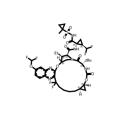 CC[C@@H]1[C@@H]2CN(C(=O)[C@H](C(C)(C)C)NC(=O)O[C@@H]3C[C@H]3CCCCC(F)(F)c3nc4ccc(OC(F)F)cc4nc3O2)[C@@H]1C(=O)N[C@]1(C(=O)NS(=O)(=O)C2(C)CC2)C[C@H]1C(F)F